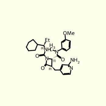 CC[C@@H](NC(=O)N1C(=O)[C@H](Cc2ccnc(N)c2)[C@H]1C(=O)N(C)c1cccc(OC)c1)C1CCCCC1